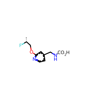 C[C@@H](F)COc1cc(CNC(=O)O)ccn1